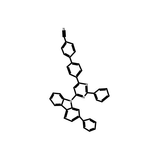 N#Cc1ccc(-c2ccc(-c3cc(-n4c5ccccc5c5ccc(-c6ccccc6)cc54)nc(-c4ccccc4)n3)cc2)cc1